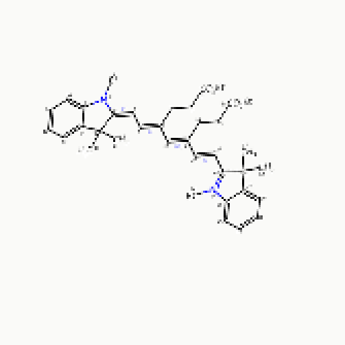 CCOC(=O)CCC(=C\C=C1\N(CC)c2ccccc2C1(C)C)/C=C(/C=C/C1=[N+](CC)c2ccccc2C1(C)C)CCC(=O)OCC